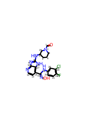 O=CN1CCCC(Nc2nc3nccc(/C(=N/O)Nc4ccc(F)c(Cl)c4)c3[nH]2)C1